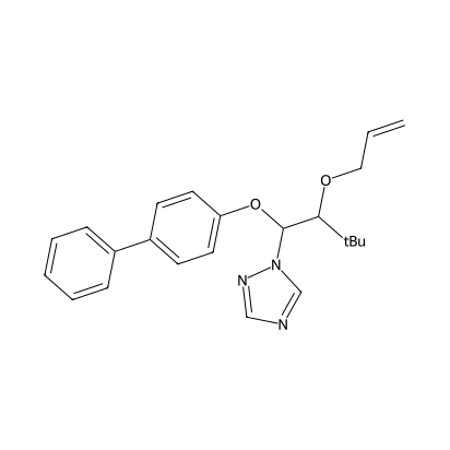 C=CCOC(C(Oc1ccc(-c2ccccc2)cc1)n1cncn1)C(C)(C)C